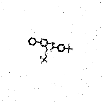 O=C(Nc1cnc(-c2ccccc2)nc1COCC(F)(F)F)c1ccc(C(F)(F)F)cc1